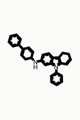 C1=Cc2c(c3ccc(NC4C=CC(c5ccccc5)=CC4)cc3n2-c2ccccc2)CC1